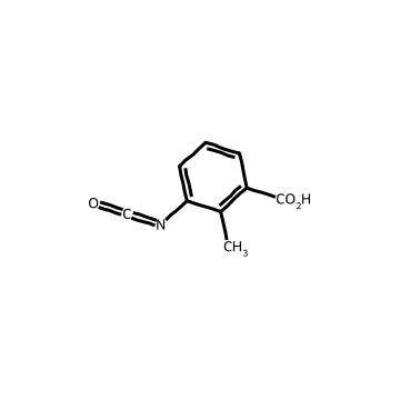 Cc1c(N=C=O)cccc1C(=O)O